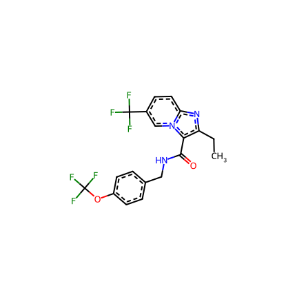 CCc1nc2ccc(C(F)(F)F)cn2c1C(=O)NCc1ccc(OC(F)(F)F)cc1